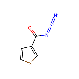 [N-]=[N+]=NC(=O)c1ccsc1